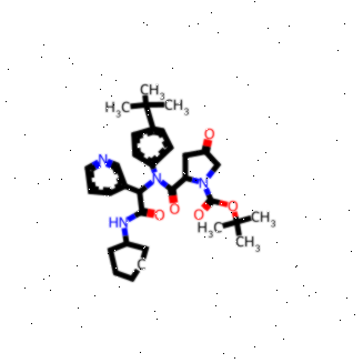 CC(C)(C)OC(=O)N1CC(=O)CC1C(=O)N(c1ccc(C(C)(C)C)cc1)C(C(=O)NC1CCCCC1)c1cccnc1